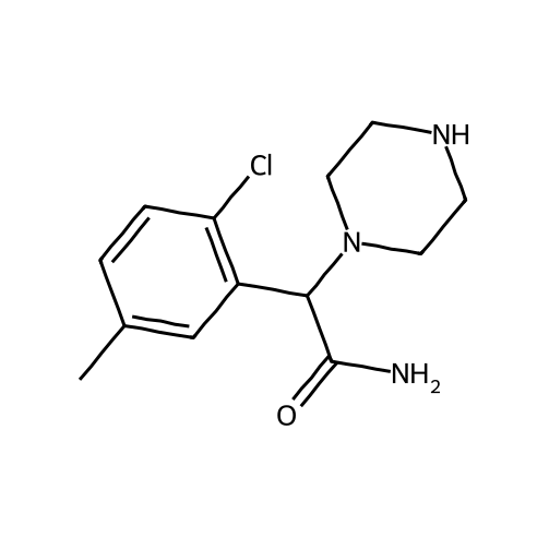 Cc1ccc(Cl)c(C(C(N)=O)N2CCNCC2)c1